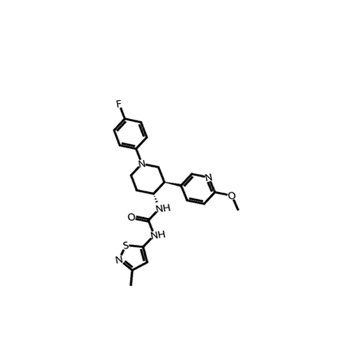 COc1ccc([C@@H]2CN(c3ccc(F)cc3)CC[C@H]2NC(=O)Nc2cc(C)ns2)cn1